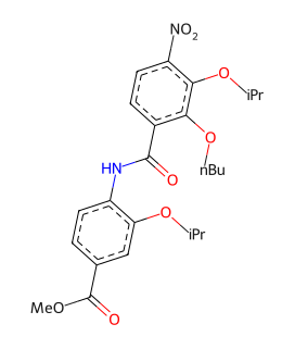 CCCCOc1c(C(=O)Nc2ccc(C(=O)OC)cc2OC(C)C)ccc([N+](=O)[O-])c1OC(C)C